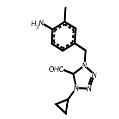 Cc1cc(CN2N=NN(C3CC3)C2C=O)ccc1N